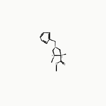 COC(=O)[C@@]1(C)CN(Cc2ccccc2)C[C@@H]1C